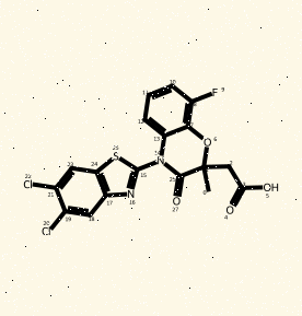 CC1(CC(=O)O)Oc2c(F)cccc2N(c2nc3cc(Cl)c(Cl)cc3s2)C1=O